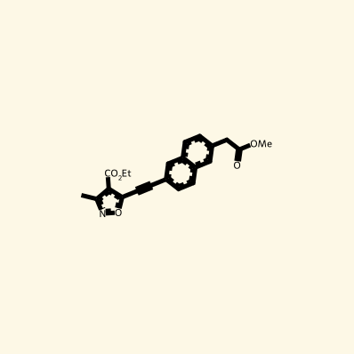 CCOC(=O)c1c(C)noc1C#Cc1ccc2cc(CC(=O)OC)ccc2c1